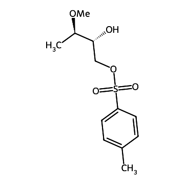 CO[C@H](C)[C@H](O)COS(=O)(=O)c1ccc(C)cc1